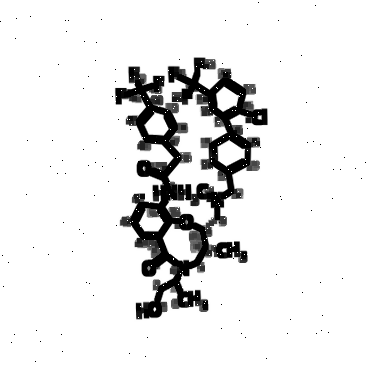 CC(CO)N1C[C@@H](C)[C@@H](CN(C)Cc2ccc(-c3cc(C(F)(F)F)ccc3Cl)cc2)Oc2c(NC(=O)Cc3ccc(C(F)(F)F)cc3)cccc2C1=O